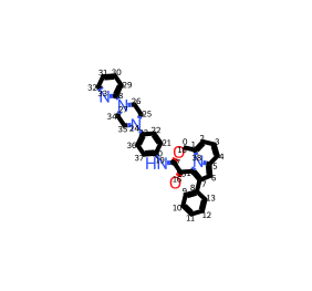 Cc1cccc2cc(-c3ccccc3)c(C(=O)C(=O)Nc3ccc(N4CCN(c5ccccn5)CC4)cc3)n12